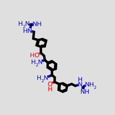 N=C(N)NCCc1cccc(C(O)CC(N)c2cccc(C(N)CC(O)c3cccc(CCNC(=N)N)c3)c2)c1